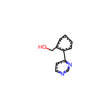 OCc1ccccc1-c1ccncn1